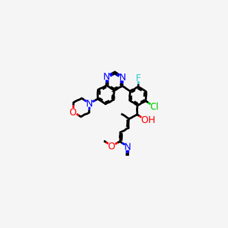 C=N/C(=C\C=C(/C)C(O)c1cc(-c2ncnc3cc(N4CCOCC4)ccc23)c(F)cc1Cl)OC